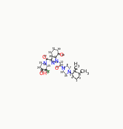 Cc1cccc(N2CCN(C(=O)Cn3nc(C(=O)N4CC[C@H](O)[C@H](F)C4)c4c3C(=O)CCC4)CC2)c1C